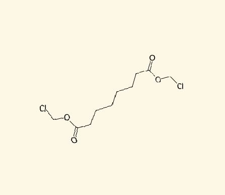 O=C(CCCCCCC(=O)OCCl)OCCl